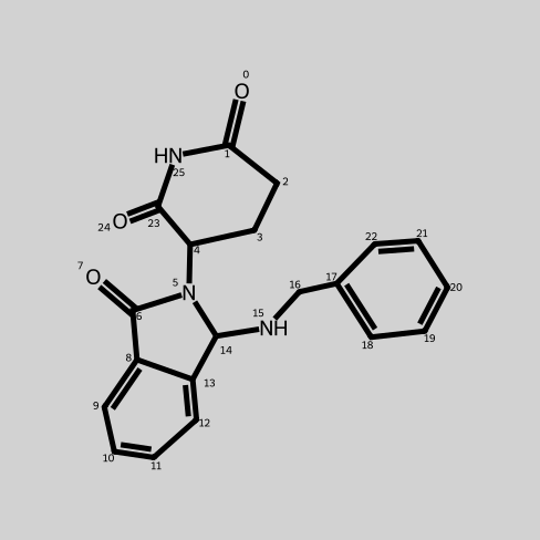 O=C1CCC(N2C(=O)c3ccccc3C2NCc2ccccc2)C(=O)N1